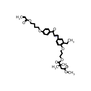 C=CC(=O)OCCCCOc1ccc(C(=O)/C=C/c2ccc(OCCCOC(=O)C(C)(C)CC(=O)OC)c(CC)c2)cc1